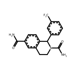 NC(=O)c1ccc2c(c1)CCN(C(N)=O)C2c1cccc(C(F)(F)F)c1